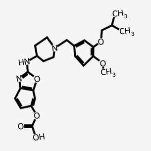 COc1ccc(CN2CCC(Nc3nc4ccc(OC(=O)O)cc4o3)CC2)cc1OCC(C)C